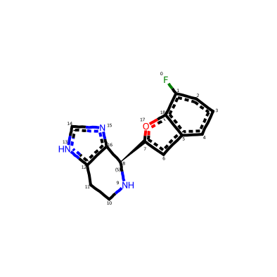 Fc1cccc2cc([C@H]3NCCc4[nH]cnc43)oc12